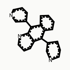 c1cncc(-c2c3ccccc3c(-c3cccnc3)c3ncccc23)c1